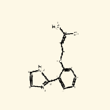 CC(Cl)=CCOc1ccccc1-c1ncc[nH]1